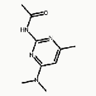 CC(=O)Nc1nc(C)cc(N(C)C)n1